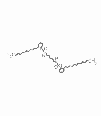 CCCCCCCCCCCCc1ccccc1OC(=O)NCCCCCCNC(=O)Oc1ccccc1CCCCCCCCCCCC